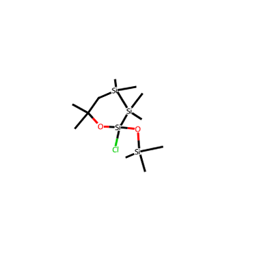 CC1(C)C[Si](C)(C)[Si](C)(C)[Si](Cl)(O[Si](C)(C)C)O1